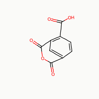 O=C1OC(=O)c2cc1ccc2C(=O)O